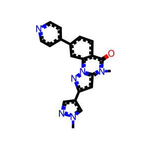 Cn1cc(-c2cc3n(C)c(=O)c4ccc(-c5ccncc5)cc4n3n2)cn1